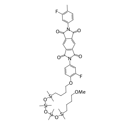 COCCCC[Si](C)(C)O[Si](C)(C)O[Si](C)(C)O[Si](C)(C)CCCCOc1ccc(-n2c(=O)c3cc4c(=O)n(-c5ccc(C)c(F)c5)c(=O)c4cc3c2=O)cc1F